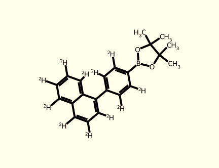 [2H]c1c([2H])c(-c2c([2H])c([2H])c([2H])c3c([2H])c([2H])c([2H])c([2H])c23)c([2H])c([2H])c1B1OC(C)(C)C(C)(C)O1